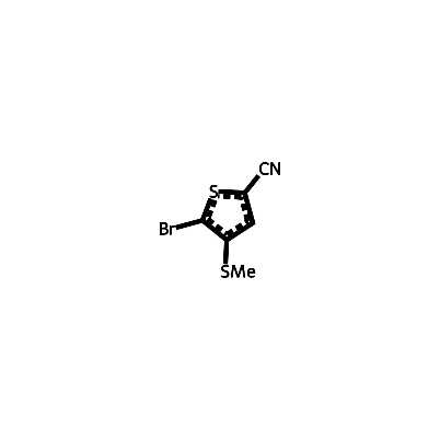 CSc1cc(C#N)sc1Br